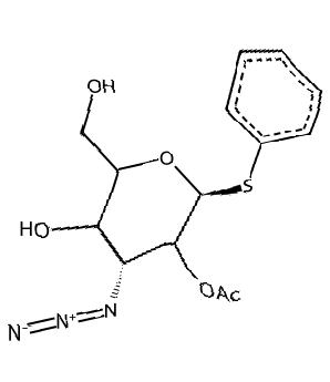 CC(=O)OC1[C@H](N=[N+]=[N-])C(O)C(CO)O[C@H]1Sc1ccccc1